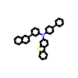 c1ccc(-c2ccc(N(c3cccc(-c4ccc5ccccc5c4)c3)c3ccc4c(c3)sc3ccccc34)cc2)cc1